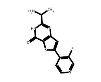 CC(N)c1nc2cc(-c3ccncc3F)sc2c(=O)[nH]1